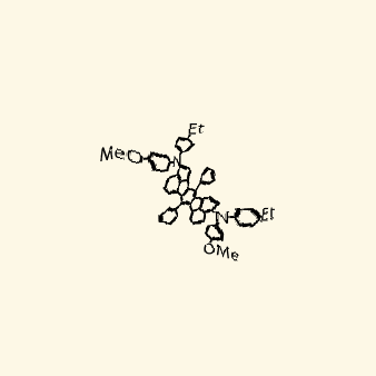 CCc1ccc(N(c2ccc(OC)cc2)c2ccc3c4c(-c5ccccc5)c5c6ccc(N(c7ccc(CC)cc7)c7ccc(OC)cc7)c7cccc(c5c(-c5ccccc5)c4c4cccc2c43)c76)cc1